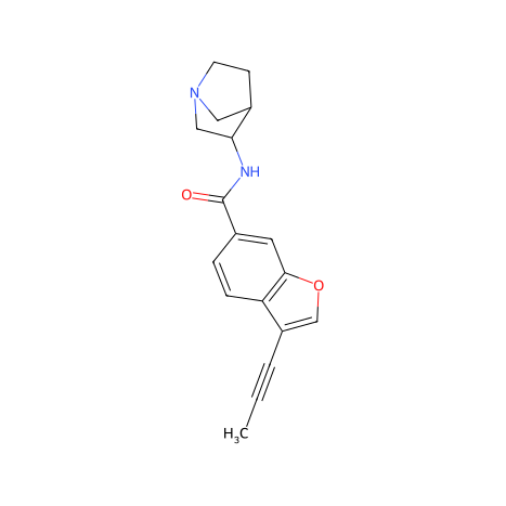 CC#Cc1coc2cc(C(=O)NC3CN4CCC3C4)ccc12